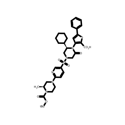 C[C@H]1CN(c2ccc(S(=O)(=O)N3CC(=O)N(c4cc(-c5ccccc5)sc4C(=O)O)[C@H](C4CCCCC4)C3)cn2)CCN1C(=O)OC(C)(C)C